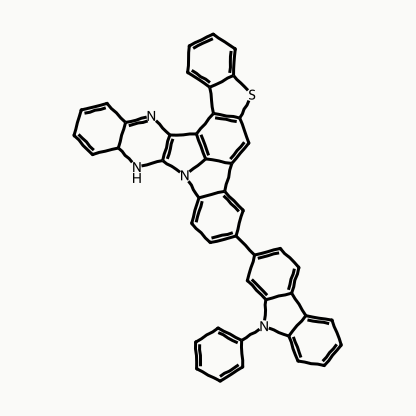 C1=CC2=Nc3c(n4c5ccc(-c6ccc7c8ccccc8n(-c8ccccc8)c7c6)cc5c5cc6sc7ccccc7c6c3c54)NC2C=C1